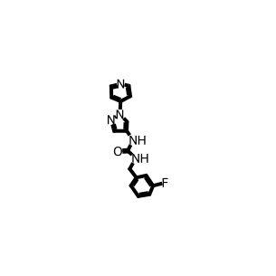 O=C(NCc1cccc(F)c1)Nc1cnn(-c2ccncc2)c1